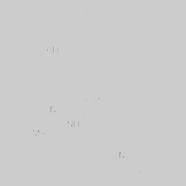 CSC1=NC(c2ccc(C)cc2)C(C(=O)OCCCc2ccccc2)=C(COCCN2CCCCC2)N1